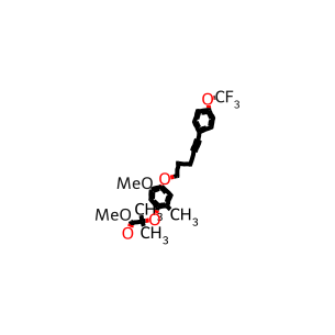 COC(=O)C(C)(C)Oc1cc(OC)c(OCCCC#Cc2ccc(OC(F)(F)F)cc2)cc1C